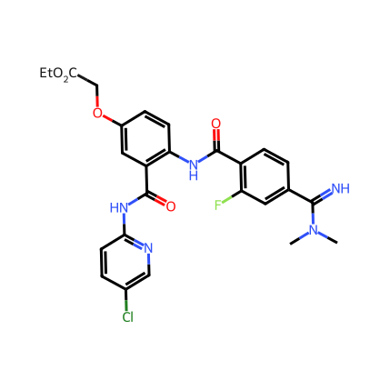 CCOC(=O)COc1ccc(NC(=O)c2ccc(C(=N)N(C)C)cc2F)c(C(=O)Nc2ccc(Cl)cn2)c1